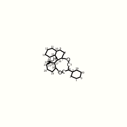 C1CCC(C2COC3CCC4CCCCC4C3C3C(CCC4CCCC[C@H]43)OC2)CC1